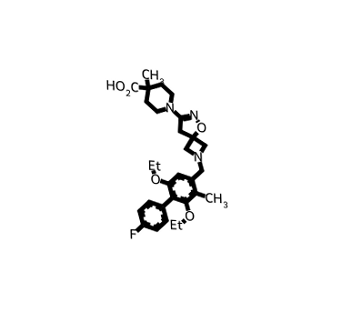 CCOc1cc(CN2CC3(CC(N4CCC(C)(C(=O)O)CC4)=NO3)C2)c(C)c(OCC)c1-c1ccc(F)cc1